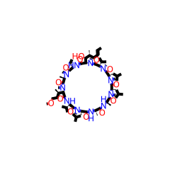 C/C=C/C[C@@H](C)[C@@H](O)[C@H]1C(=O)N[C@@H](CC)C(=O)N(C)[C@H](C)C(=O)N(C)[C@@H]([C@H](C)CCOC)C(=O)N[C@@H](C(C)C)C(=O)N(C)[C@@H](CC(C)C)C(=O)N[C@@H](C)C(=O)N[C@H](C)C(=O)N(C)[C@@H](CC(C)C)C(=O)N(C)[C@@H](CC(C)C)C(=O)N(C)[C@@H](C(C)C)C(=O)N1C